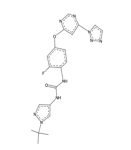 CC(C)(C)n1cc(NC(=O)Nc2ccc(Oc3cc(-n4ccnn4)ncn3)cc2F)cn1